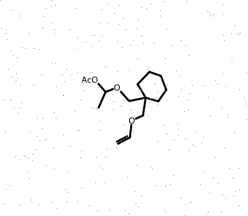 C=COCC1(COC(C)OC(C)=O)CCCCC1